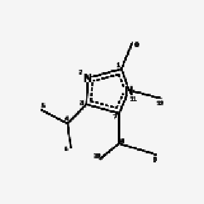 Cc1nc(C(C)C)c(C(C)C)n1C